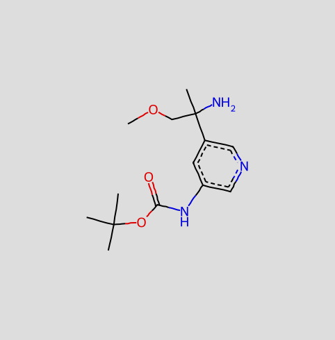 COCC(C)(N)c1cncc(NC(=O)OC(C)(C)C)c1